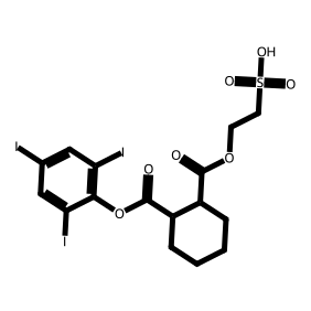 O=C(OCCS(=O)(=O)O)C1CCCCC1C(=O)Oc1c(I)cc(I)cc1I